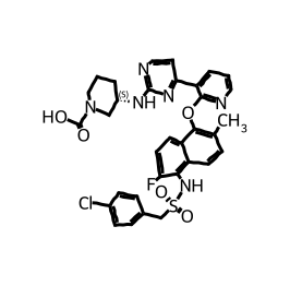 Cc1ccc2c(NS(=O)(=O)Cc3ccc(Cl)cc3)c(F)ccc2c1Oc1ncccc1-c1ccnc(N[C@H]2CCCN(C(=O)O)C2)n1